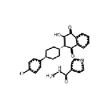 NNC(=O)c1ccncc1.O=C1C(O)=C([C@H]2CC[C@H](c3ccc(Cl)cc3)CC2)C(=O)c2ccccc21